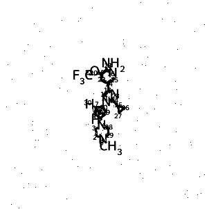 CN1CCN(C2C[C@H]3[C@H]4C2[C@@]43n2cc(-c3cnc(N)c(OC(F)(F)F)c3)nc2C2CC2)CC1